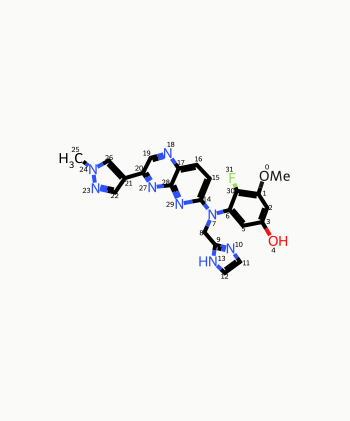 COc1cc(O)cc(N(Cc2ncc[nH]2)c2ccc3ncc(-c4cnn(C)c4)nc3n2)c1F